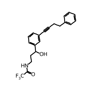 O=C(NCCC(O)c1cccc(C#CCCc2ccccc2)c1)C(F)(F)F